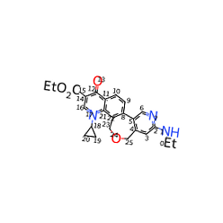 CCNc1cc2c(cn1)-c1ccc3c(=O)c(C(=O)OCC)cn(C4CC4)c3c1COC2